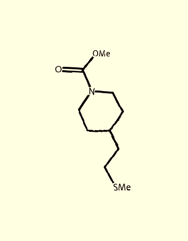 COC(=O)N1CCC(CCSC)CC1